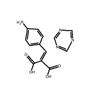 Nc1ccc(C=C(C(=O)O)C(=O)O)cc1.c1ncncn1